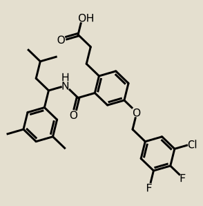 Cc1cc(C)cc(C(CC(C)C)NC(=O)c2cc(OCc3cc(F)c(F)c(Cl)c3)ccc2CCC(=O)O)c1